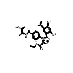 CCNC(=O)c1nnc(-c2cc(C(C)C)c(O)cc2O)n1-c1ccc(C(=O)N[C@@H](C)C(=O)O)cc1